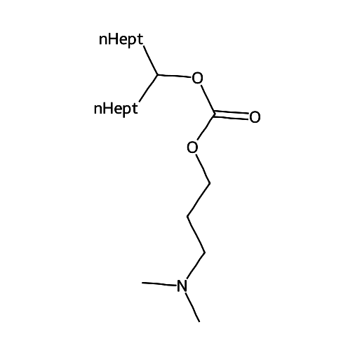 CCCCCCCC(CCCCCCC)OC(=O)OCCCN(C)C